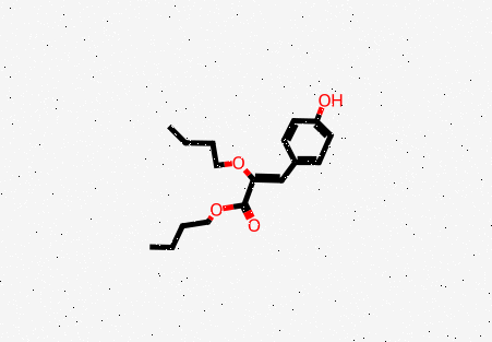 CCCCOC(=O)C(=Cc1ccc(O)cc1)OCCCC